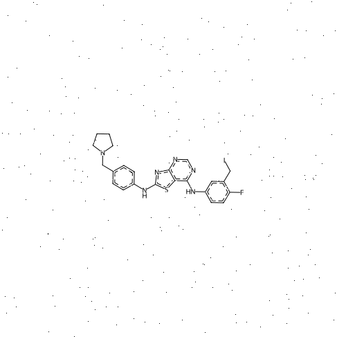 Fc1ccc(Nc2ncnc3nc(Nc4ccc(CN5CCCC5)cc4)sc23)cc1CI